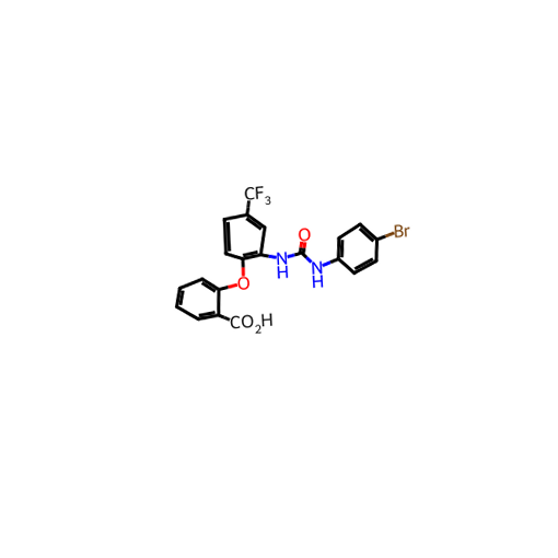 O=C(Nc1ccc(Br)cc1)Nc1cc(C(F)(F)F)ccc1Oc1ccccc1C(=O)O